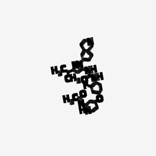 CC(=O)Nc1cc(Oc2ccc(NC(=O)Nc3cc(C(C)C)nn3-c3ccc4cnccc4c3)c(F)c2)ccn1